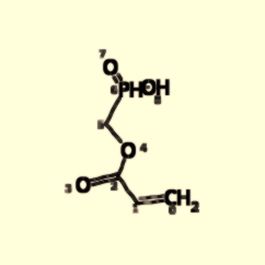 C=CC(=O)OC[PH](=O)O